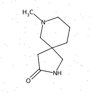 CN1CCCC2(CNC(=O)C2)C1